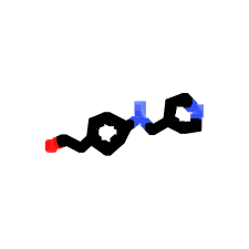 O=CCc1ccc(NCc2ccncc2)cc1